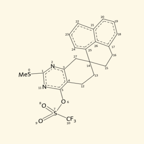 CSc1nc2c(c(OS(=O)(=O)C(F)(F)F)n1)CCC1(CCc3cccc4cccc1c34)C2